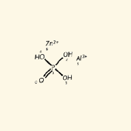 O=P(O)(O)O.[Al+3].[Zn+2]